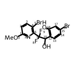 COc1ccc(Br)c(C(F)(F)C(O)c2ccc(Br)cc2O)n1